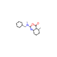 Cc1cccc2nc(N(C)Cc3ccccc3)oc(=O)c12